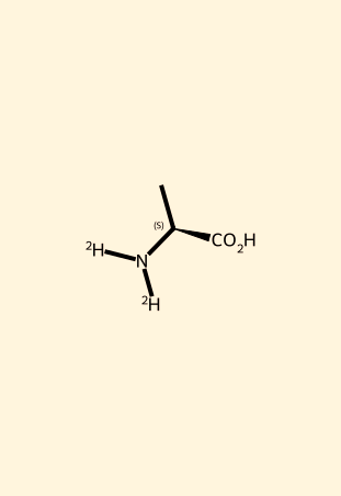 [2H]N([2H])[C@@H](C)C(=O)O